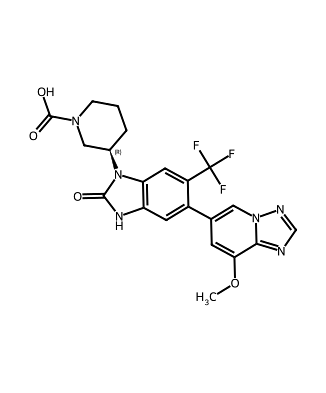 COc1cc(-c2cc3[nH]c(=O)n([C@@H]4CCCN(C(=O)O)C4)c3cc2C(F)(F)F)cn2ncnc12